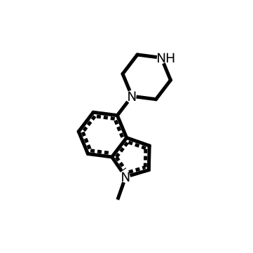 Cn1ccc2c(N3CCNCC3)cccc21